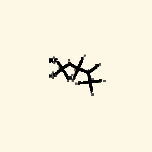 CC(C)(C)OC(F)(F)C(F)C(F)(F)F